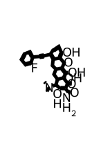 CN(C)C1C(O)=C(C(N)=O)C(=O)C2(O)C(O)=C3C(=O)c4c(O)ccc(C#Cc5ccccc5F)c4CC3CC12